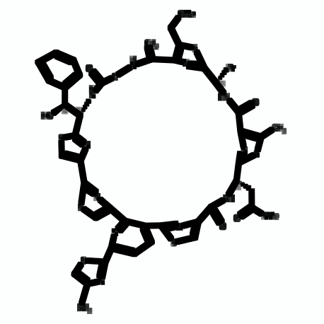 C=C1NCC(=O)N[C@@H]([C@@H](O)c2ccccc2)c2nc(cs2)-c2nc(cs2)-c2nc(-c3nc(N)cs3)ccc2-c2nc(cs2)C(=O)N[C@@H](CC(=O)NC)c2nc(c(C)s2)C(=O)N[C@@H](C(C)C)c2nc1c(COC)s2